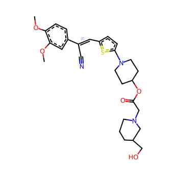 COc1ccc(/C(C#N)=C/c2ccc(N3CCC(OC(=O)CN4CCCC(CO)C4)CC3)s2)cc1OC